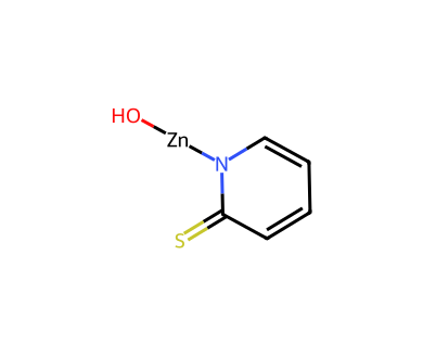 [OH][Zn][n]1ccccc1=S